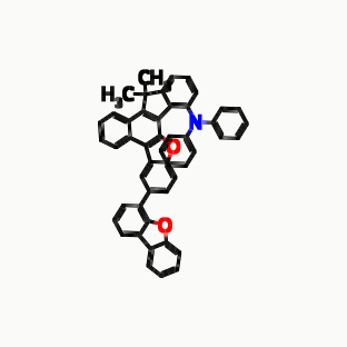 CC1(C)c2cccc(N(c3ccccc3)c3ccccc3)c2-c2c1c1ccccc1c1c2oc2ccc(-c3cccc4c3oc3ccccc34)cc21